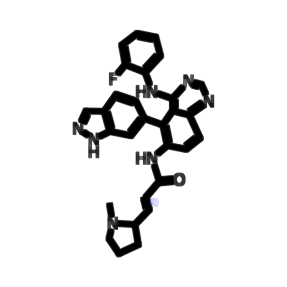 CN1CCCC1/C=C/C(=O)Nc1ccc2ncnc(Nc3ccccc3F)c2c1-c1ccc2cn[nH]c2c1